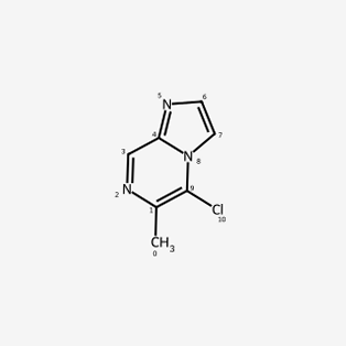 Cc1ncc2nccn2c1Cl